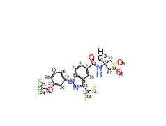 CC1(NC(=O)c2ccc3c(c2)c(C(F)F)nn3-c2cccc(OC(F)F)c2)CS(=O)(=O)C1